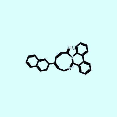 C=C1/C=C\C(C2C=c3ccccc3=CC2)=C/C/N=C2/c3ccccc3-c3ccccc3N12